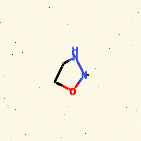 C1CO[N]N1